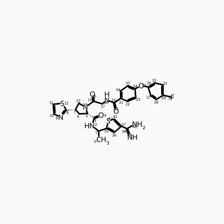 CC(NC(=O)[C@@H]1C[C@H](c2nccs2)CN1C(=O)CNC(=O)c1ccc(Oc2ccc(F)cc2)cc1)c1cc(C(=N)N)cs1